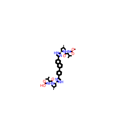 COC(=O)N[C@H](C(=O)N1C[C@H](C)C[C@H]1c1nc(-c2ccc3cc(-c4ccc(-c5c[nH]c([C@@H]6C[C@@H](C)CN6C(=O)[C@@H](NC(=O)O)C(C)C)n5)cc4)ccc3c2)c[nH]1)C(C)C